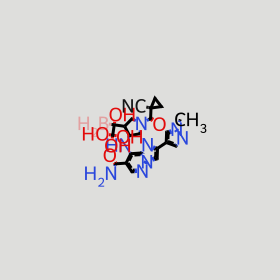 BC(O)(C1CN(C(=O)C2(C#N)CC2)CC1Nc1c(C(N)=O)cnn2cc(-c3cnn(C)c3)nc12)C(O)(O)O